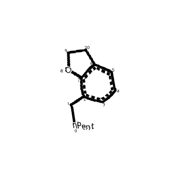 [CH2]CCCCCc1cccc2c1OCC2